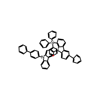 c1ccc(-c2ccc(-n3c4ccccc4c4cc(-n5c6ccc(-c7ccccc7)cc6c6cccc([Si](c7ccccc7)(c7ccccc7)c7ccccc7)c65)ccc43)cc2)cc1